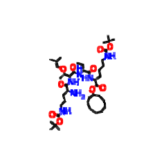 CC[C@H](NC(=O)[C@@H](NC(=O)[C@@H](N)CCCNC(=O)OC(C)(C)C)[C@@H](C)OCC(C)C)C(=O)N[C@@H](CCCCNC(=O)OC(C)(C)C)C(=O)OC1CCCCCCCC1